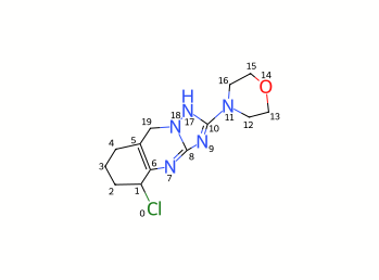 ClC1CCCC2=C1N=C1N=C(N3CCOCC3)NN1C2